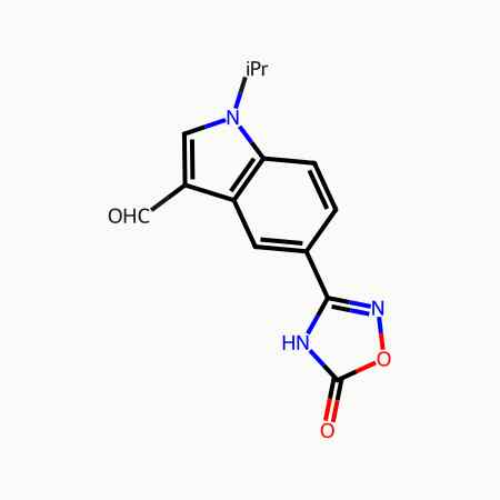 CC(C)n1cc(C=O)c2cc(-c3noc(=O)[nH]3)ccc21